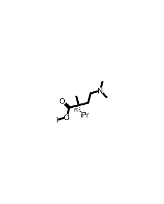 CC(C)[C@](C)(CCN(C)C)C(=O)OI